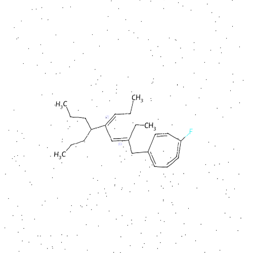 CC/C=C(\C=C(/CC)CC1=CC=C=C(F)C=C1)C(CCC)CCC